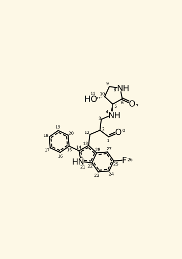 O=CC(CN[C@@H]1C(=O)NC[C@H]1O)Cc1c(-c2ccccc2)[nH]c2ccc(F)cc12